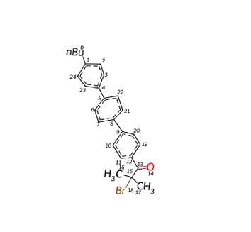 CCCCc1ccc(-c2ccc(-c3ccc(C(=O)C(C)(C)Br)cc3)cc2)cc1